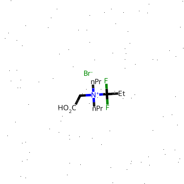 CCC[N+](CCC)(CC(=O)O)C(F)(F)CC.[Br-]